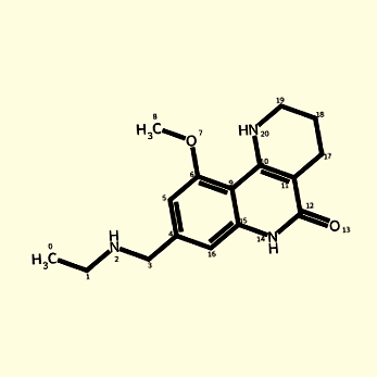 CCNCc1cc(OC)c2c3c(c(=O)[nH]c2c1)CCCN3